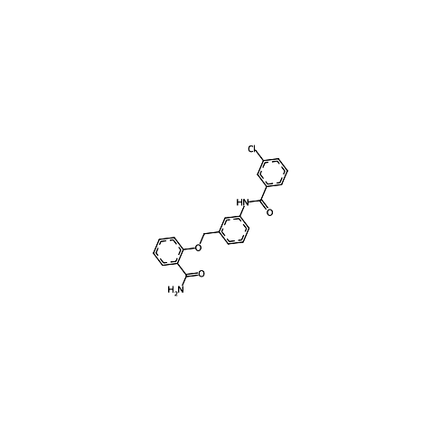 NC(=O)c1ccccc1OCc1cccc(NC(=O)c2cccc(Cl)c2)c1